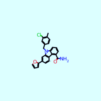 Cc1ccc(Cn2c3cc(-c4ccco4)c[c]c3c3c(C(N)=O)cccc32)cc1Cl